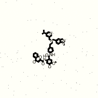 COc1cc(NC(=O)c2cc(=O)c3ccccc3o2)c(C(=O)Nc2ccc(CCN(Cc3cncc(C(C)C)c3)Cc3ccc4c(cnn4C)c3)cc2)cc1OC